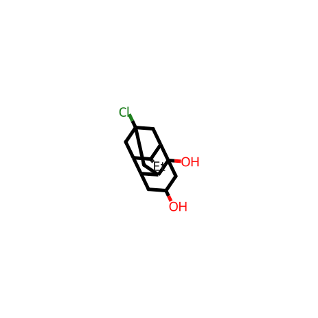 CCC1C2CC3(Cl)CC1C1(O)CC(O)CC2C1C3